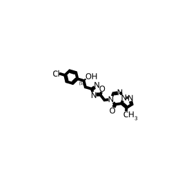 Cc1cnn2ncn(Cc3nc(C[C@H](O)c4ccc(Cl)cc4)no3)c(=O)c12